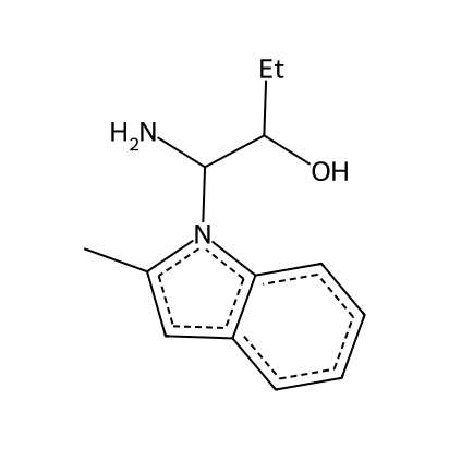 CCC(O)C(N)n1c(C)cc2ccccc21